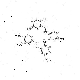 COc1ccc(NCc2cc(N)ccc2O)cc1OC.Nc1ccc(O)c(CNc2ccc(O)cc2)c1